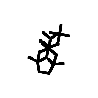 CN(C)[C@H]1C[C@]2(C)CC[C@](C)(C1)N2C(=O)OC(C)(C)C